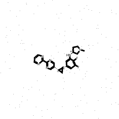 CN1CC[C@@H](Nc2cc([C@@H]3C[C@@H]3c3cnc(-c4ncccn4)nc3)cc(F)c2F)C1